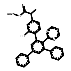 CCCCCCCCOC(=O)C(C)c1ccc(-c2cc(-c3ccccc3)cc(-c3ccccc3)c2-c2ncncn2)c(O)c1